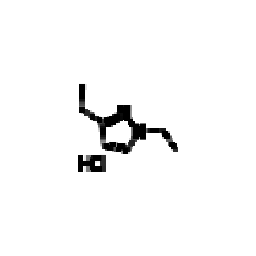 CCc1ccn(CC)n1.Cl